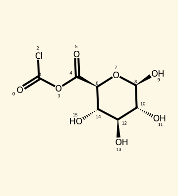 O=C(Cl)OC(=O)[C@H]1O[C@@H](O)[C@H](O)[C@@H](O)[C@@H]1O